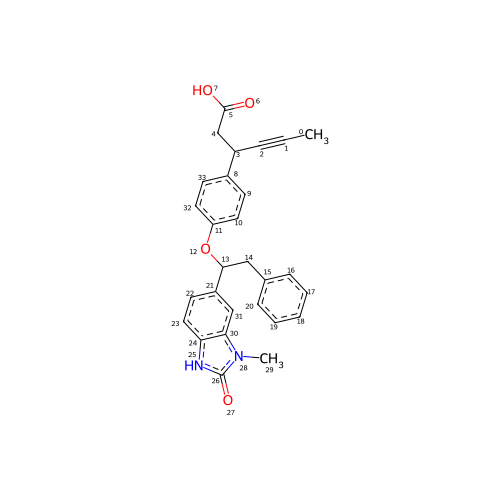 CC#CC(CC(=O)O)c1ccc(OC(Cc2ccccc2)c2ccc3[nH]c(=O)n(C)c3c2)cc1